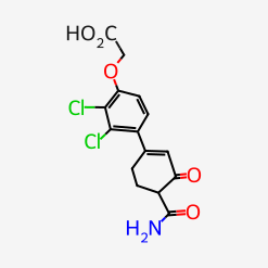 NC(=O)C1CCC(c2ccc(OCC(=O)O)c(Cl)c2Cl)=CC1=O